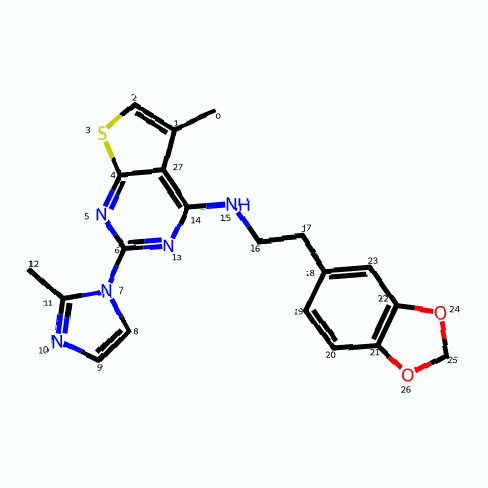 Cc1csc2nc(-n3ccnc3C)nc(NCCc3ccc4c(c3)OCO4)c12